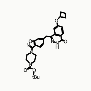 CC(C)(C)OC(=O)N1CCN(c2noc3cc(Cc4n[nH]c(=O)c5ccc(OC6CCC6)cc45)ccc23)CC1